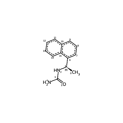 C[C@@H](NC(N)=O)c1cccc2ccccc12